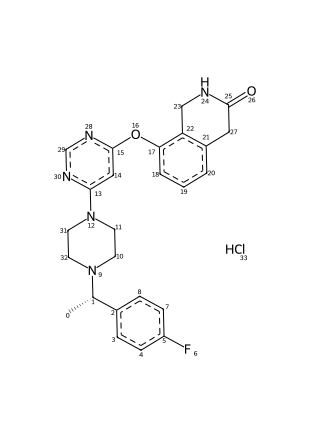 C[C@@H](c1ccc(F)cc1)N1CCN(c2cc(Oc3cccc4c3CNC(=O)C4)ncn2)CC1.Cl